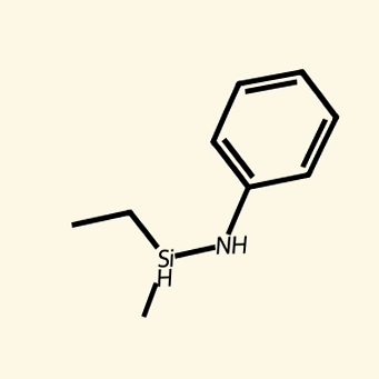 CC[SiH](C)Nc1ccccc1